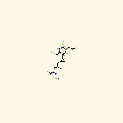 C/C=C(\C=C(/C)CC1CC1c1cc(CCC)c(Cl)cc1CF)NCC